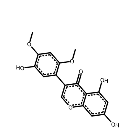 COc1cc(OC)c(-c2coc3cc(O)cc(O)c3c2=O)cc1O